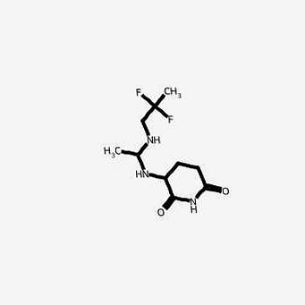 CC(NCC(C)(F)F)NC1CCC(=O)NC1=O